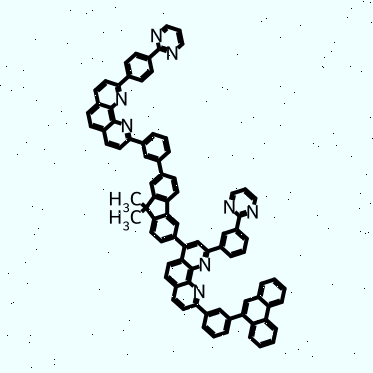 CC1(C)c2ccc(-c3cc(-c4cccc(-c5ncccn5)c4)nc4c3ccc3ccc(-c5cccc(-c6cc7ccccc7c7ccccc67)c5)nc34)cc2-c2ccc(-c3cccc(-c4ccc5ccc6ccc(-c7ccc(-c8ncccn8)cc7)nc6c5n4)c3)cc21